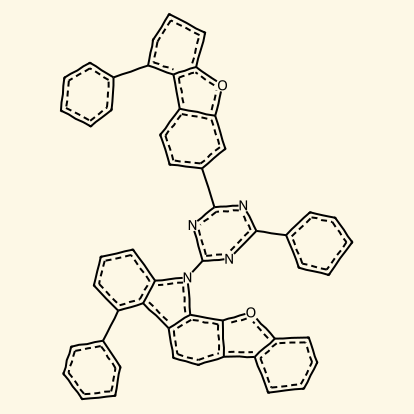 c1ccc(-c2nc(-c3ccc4c(c3)oc3cccc(-c5ccccc5)c34)nc(-n3c4cccc(-c5ccccc5)c4c4ccc5c6ccccc6oc5c43)n2)cc1